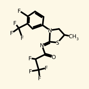 CC1CN(c2ccc(F)c(C(F)(F)F)c2)C(=NC(=O)C(F)C(F)(F)F)S1